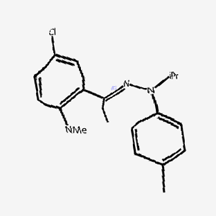 CNc1ccc(Cl)cc1/C(C)=N/N(c1ccc(C)cc1)C(C)C